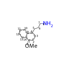 COc1ccc(CCCN)c2ccccc12